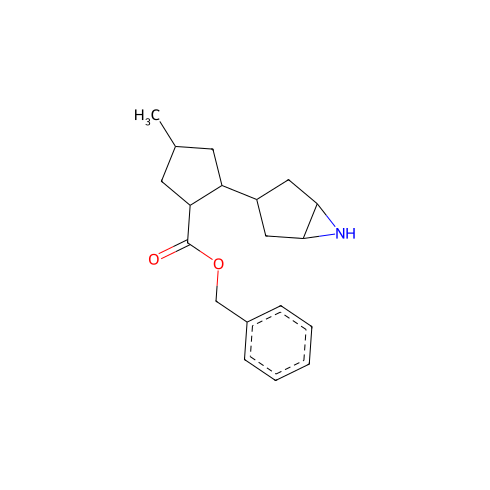 CC1CC(C(=O)OCc2ccccc2)C(C2CC3NC3C2)C1